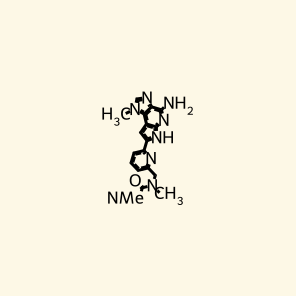 CNC(=O)N(C)Cc1cccc(-c2cc3c(nc(N)c4ncn(C)c43)[nH]2)n1